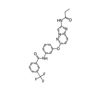 CCC(=O)Nc1cn2nc(Oc3cccc(NC(=O)c4cccc(C(F)(F)F)c4)c3)ccc2n1